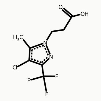 Cc1c(Cl)c(C(F)(F)F)nn1CCC(=O)O